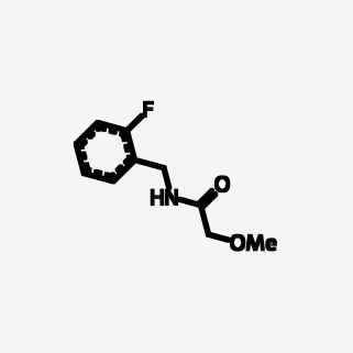 COCC(=O)NCc1ccccc1F